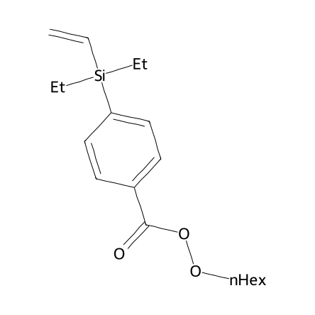 [CH2]CCCCCOOC(=O)c1ccc([Si](C=C)(CC)CC)cc1